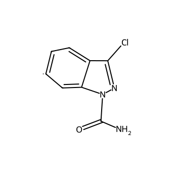 NC(=O)n1nc(Cl)c2cc[c]cc21